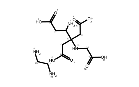 NC(CC(=O)O)C(CC(=O)O)(CC(=O)O)NCC(=O)O.NCCN